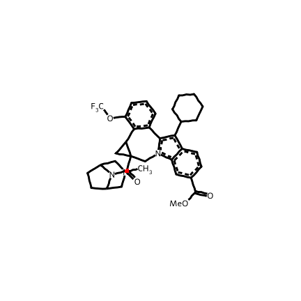 COC(=O)c1ccc2c(C3CCCCC3)c3n(c2c1)CC1(C(=O)N2C4CCC2CN(C)C4)CC1c1c(OC(F)(F)F)cccc1-3